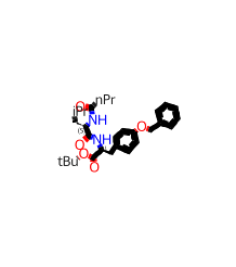 CCCC(=O)N[C@@H](CC(C)C)C(=O)N[C@@H](Cc1ccc(OCc2ccccc2)cc1)C(=O)OC(C)(C)C